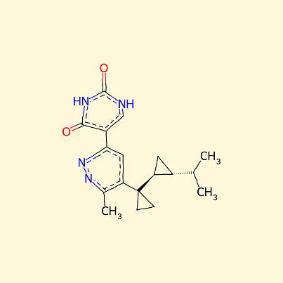 Cc1nnc(-c2c[nH]c(=O)[nH]c2=O)cc1C1([C@H]2C[C@@H]2C(C)C)CC1